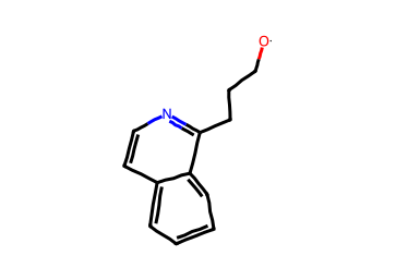 [O]CCCc1nccc2ccccc12